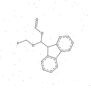 O=[C]OC(OCF)C1c2ccccc2-c2ccccc21